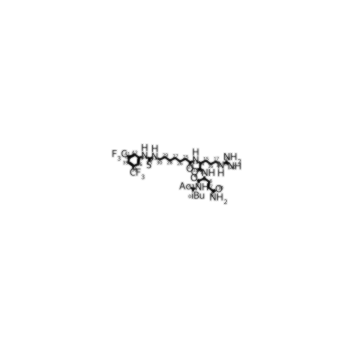 CCC(C)C(NC(=O)C(CCC(N)=O)NC(=O)C(CCCNC(=N)N)NC(=O)CCCCCCNC(=S)Nc1cc(C(F)(F)F)cc(C(F)(F)F)c1)C(C)=O